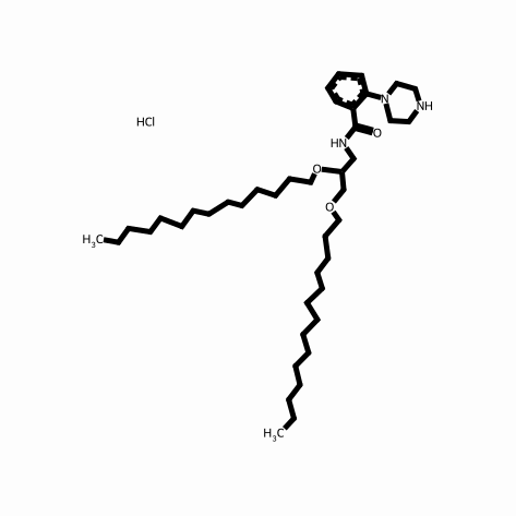 CCCCCCCCCCCCCCOCC(CNC(=O)c1ccccc1N1CCNCC1)OCCCCCCCCCCCCCC.Cl